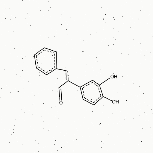 O=CC(=Cc1ccccc1)c1ccc(O)c(O)c1